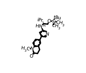 CC(C)[C@H](CO[Si](C)(C)C(C)(C)C)Nc1cncc(-c2ccc3c(c2)CCC(=O)N3C)c1